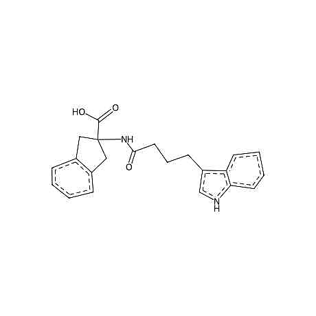 O=C(CCCc1c[nH]c2ccccc12)NC1(C(=O)O)Cc2ccccc2C1